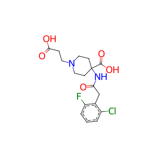 O=C(O)CCN1CCC(NC(=O)Cc2c(F)cccc2Cl)(C(=O)O)CC1